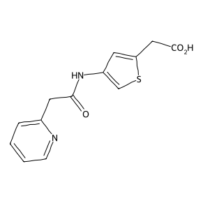 O=C(O)Cc1cc(NC(=O)Cc2ccccn2)cs1